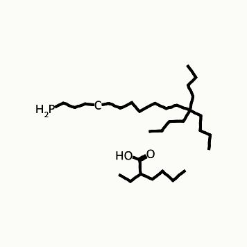 CCCCC(CC)C(=O)O.CCCCC(CCCC)(CCCC)CCCCCCCCCCCP